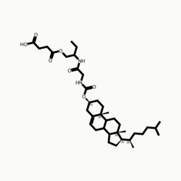 CCC(COC(=O)CCC(=O)O)NC(=O)CNC(=O)O[C@H]1CC[C@@]2(C)C(=CCC3C2CC[C@@]2(C)C3CC[C@@H]2[C@H](C)CCCC(C)C)C1